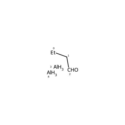 CCCC=O.[AlH3].[AlH3]